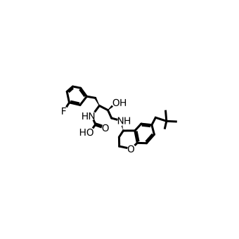 CC(C)(C)Cc1ccc2c(c1)[C@@H](NC[C@H](O)[C@H](Cc1cccc(F)c1)NC(=O)O)CCO2